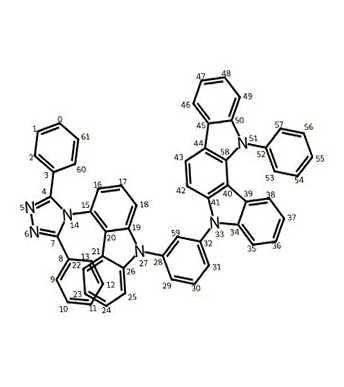 c1ccc(-c2nnc(-c3ccccc3)n2-c2cccc3c2c2ccccc2n3-c2cccc(-n3c4ccccc4c4c3ccc3c5ccccc5n(-c5ccccc5)c34)c2)cc1